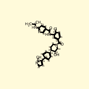 CC(C)Nc1ccc(C(=O)Nc2cc(C(=O)N3CC[C@H](c4ccc(-c5ccnn5C)cc4)[C@@H](O)C3)ccc2Cl)cn1